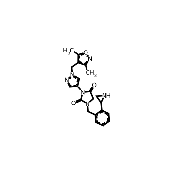 Cc1noc(C)c1Cn1cc(N2C(=O)CN(Cc3ccccc3C3CN3)C2=O)cn1